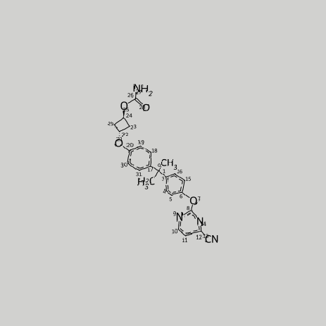 CC(C)(c1ccc(Oc2nccc(C#N)n2)cc1)c1ccc(O[C@H]2C[C@H](OC(N)=O)C2)cc1